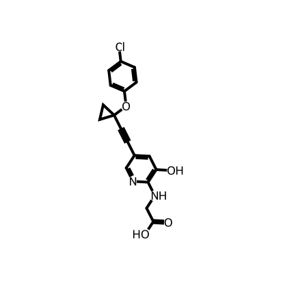 O=C(O)CNc1ncc(C#CC2(Oc3ccc(Cl)cc3)CC2)cc1O